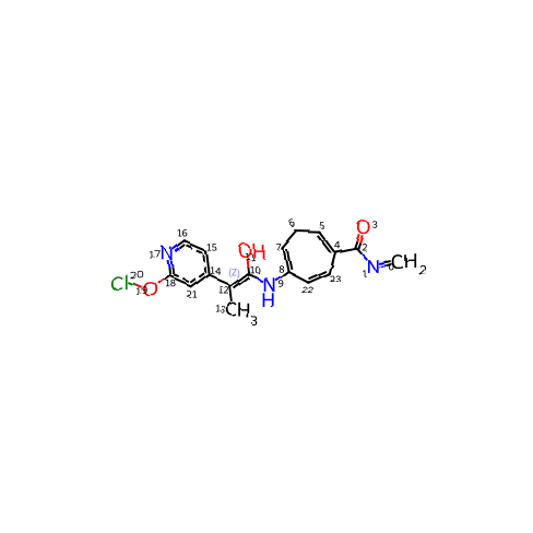 C=NC(=O)C1=CCC=C(N/C(O)=C(\C)c2ccnc(OCl)c2)C=C1